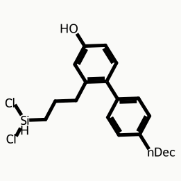 CCCCCCCCCCc1ccc(-c2ccc(O)cc2CCC[SiH](Cl)Cl)cc1